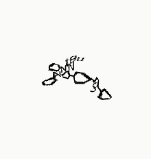 CC(C)(C)c1nc2c(-c3ccc(-c4ccc(-c5ccccc5)s4)cc3)ccc3c2n1-c1ccccc1N3c1ccccc1